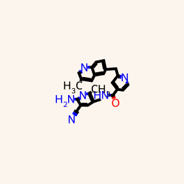 Cc1cnc2ccc(Cc3cc(C(=O)NCc4cc(C#N)c(N)nc4C)ccn3)cc2c1